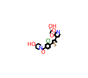 O=C(c1ccc(-c2cc(-c3ccnc4c3OC[C@H](CO)O4)cs2)c(Cl)c1)N1CCC(O)CC1